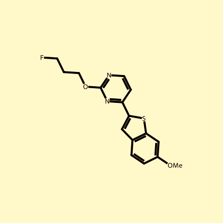 COc1ccc2cc(-c3ccnc(OCCCF)n3)sc2c1